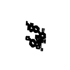 O=S(=O)(Nc1ccc(F)c(-c2ccc3nc(I)ncc3c2)c1F)c1cc(Cl)ccc1C(F)(F)F